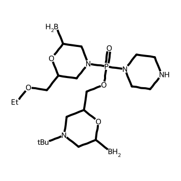 BC1CN(C(C)(C)C)CC(COP(=O)(N2CCNCC2)N2CC(B)OC(COCC)C2)O1